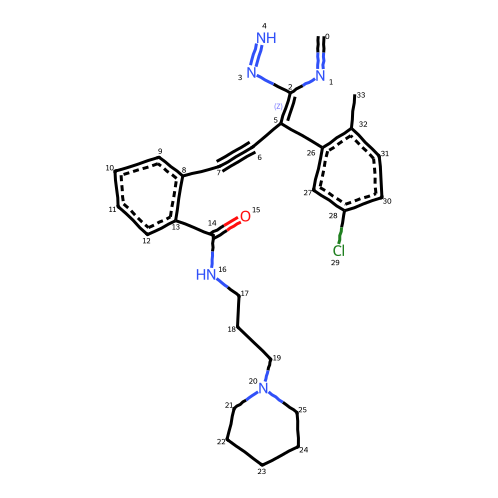 C=N/C(N=N)=C(/C#Cc1ccccc1C(=O)NCCCN1CCCCC1)c1cc(Cl)ccc1C